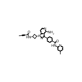 CC#CC(=O)N[C@H]1C[C@@H](n2nc(-c3ccc(C(=O)Nc4cc(C)ccn4)cc3)c3c(N)nccc32)C1